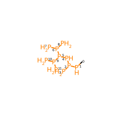 CPP(P)PP(P(P)P)P(P)P